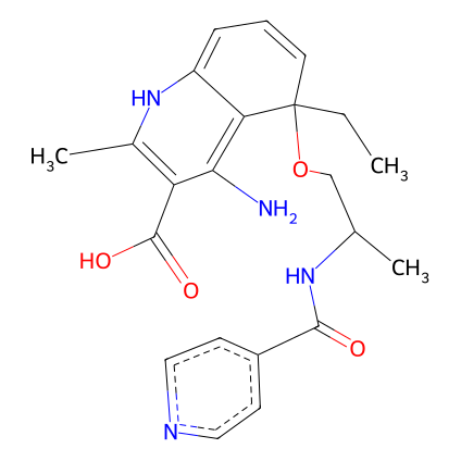 CCC1(OCC(C)NC(=O)c2ccncc2)C=CC=C2NC(C)=C(C(=O)O)C(N)=C21